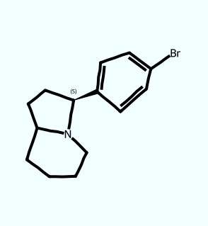 Brc1ccc([C@@H]2CCC3CCCCN32)cc1